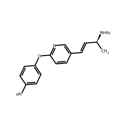 CCCc1ccc(Oc2ccc(/C=C/[C@H](C)NC(C)=O)cn2)cc1